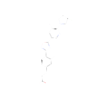 Cc1cc(CCC(=O)O)ccc1-c1noc(-c2cnc(N3CCC(F)(F)C3)c(I)c2)n1